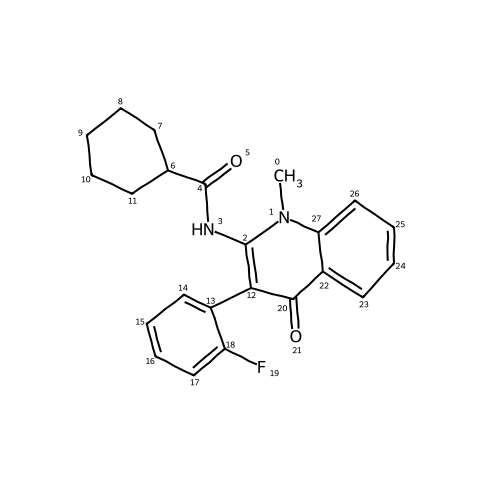 Cn1c(NC(=O)C2CCCCC2)c(-c2ccccc2F)c(=O)c2ccccc21